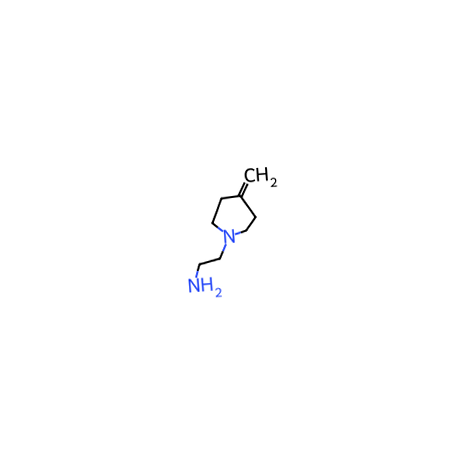 C=C1CCN(CCN)CC1